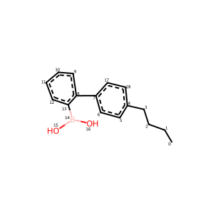 CCCCc1ccc(-c2ccccc2B(O)O)cc1